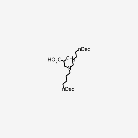 CCCCCCCCCCCCCCN(CCCCCCCCCCCCCC)CC(C)C(=O)O